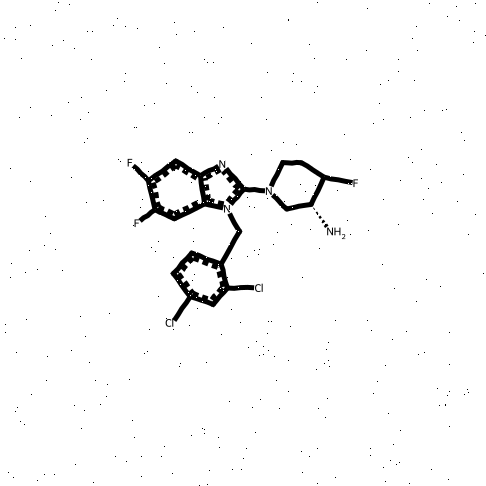 N[C@@H]1CN(c2nc3cc(F)c(F)cc3n2Cc2ccc(Cl)cc2Cl)CCC1F